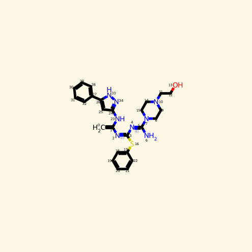 C=C(/N=C(\N=C(/N)N1CCN(CCO)CC1)Sc1ccccc1)Nc1cc(-c2ccccc2)[nH]n1